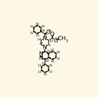 COC(=O)C1CN(c2nnc(-c3ccccc3)c3ccccc23)CCN1C(=O)c1ccccc1